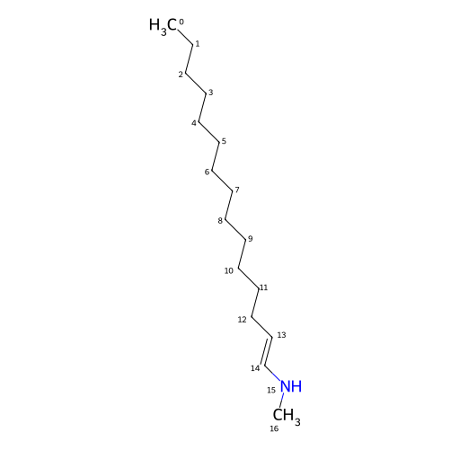 CCCCCCCCCCCCCC=CNC